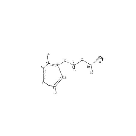 Cc1ccc(C)c(CNC[C@@H](C)C(C)C)c1